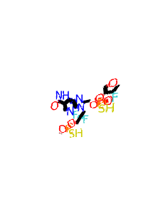 COP(S)OCC(F)(F)Cn1c(COP(=O)(S)O[C@H]2COCC2F)nc2cc(C(N)=O)cnc21